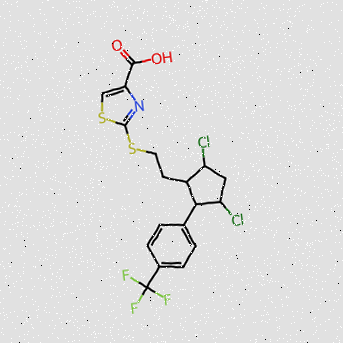 O=C(O)c1csc(SCCC2C(Cl)CC(Cl)C2c2ccc(C(F)(F)F)cc2)n1